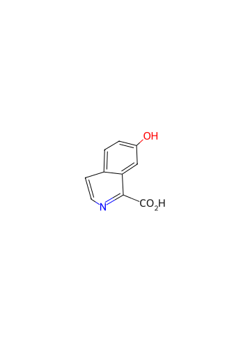 O=C(O)c1nccc2ccc(O)cc12